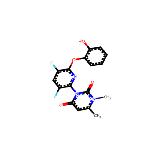 Cn1c(C(F)(F)F)cc(=O)n(-c2nc(Oc3ccccc3O)c(F)cc2F)c1=O